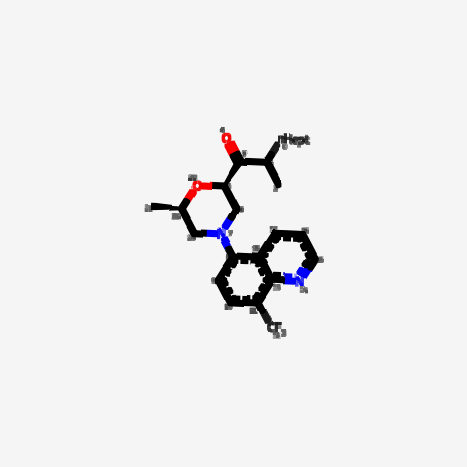 CCCCCCCC(C)C(=O)[C@H]1CN(c2ccc(C(F)(F)F)c3ncccc23)C[C@@H](C)O1